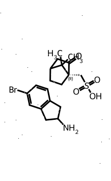 CC1(C)C2CC[C@]1(CS(=O)(=O)O)C(=O)C2.NC1Cc2ccc(Br)cc2C1